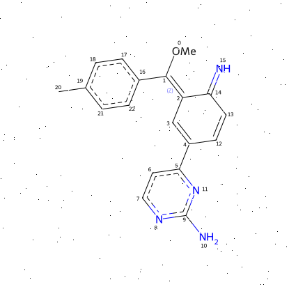 CO/C(=C1/C=C(c2ccnc(N)n2)C=CC1=N)c1ccc(C)cc1